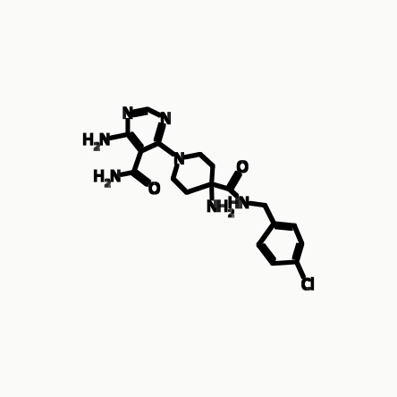 NC(=O)c1c(N)ncnc1N1CCC(N)(C(=O)NCc2ccc(Cl)cc2)CC1